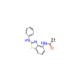 CCC(=O)Nc1cccc2sc(Nc3ccccc3)nc12